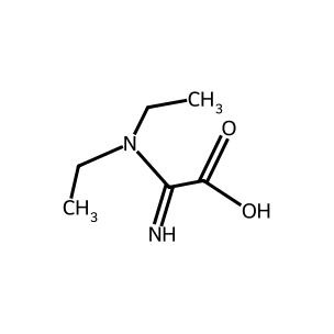 CCN(CC)C(=N)C(=O)O